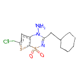 NN1C(CC2CCCCC2)=NS(=O)(=O)c2sc(Cl)cc21